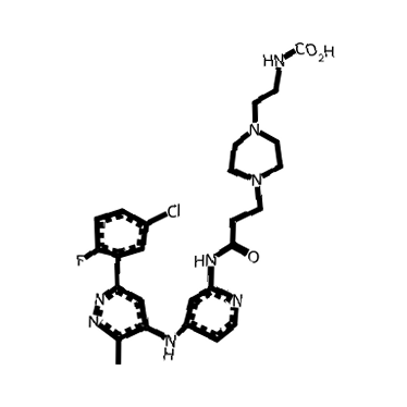 Cc1nnc(-c2cc(Cl)ccc2F)cc1Nc1ccnc(NC(=O)CCN2CCN(CCNC(=O)O)CC2)c1